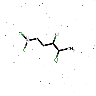 CC(Cl)C(Cl)CC[SiH](Cl)Cl